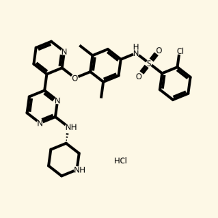 Cc1cc(NS(=O)(=O)c2ccccc2Cl)cc(C)c1Oc1ncccc1-c1ccnc(N[C@H]2CCCNC2)n1.Cl